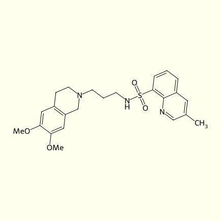 COc1cc2c(cc1OC)CN(CCCNS(=O)(=O)c1cccc3cc(C)cnc13)CC2